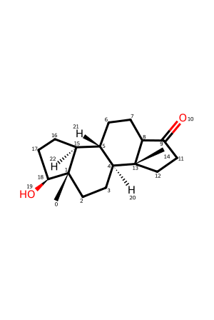 C[C@]12CC[C@H]3[C@@H](CCC4C(=O)CC[C@@]43C)[C@@H]1CC[C@@H]2O